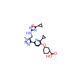 Cn1nnc(-c2ccc(O[C@H]3CCC[C@](C)(C(=O)O)C3)c(C3CC3)n2)c1CNc1noc(C2CC2)n1